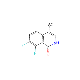 CC(=O)c1c[nH]c(=O)c2c(F)c(F)ccc12